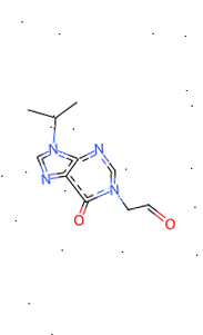 CC(C)n1cnc2c(=O)n(CC=O)cnc21